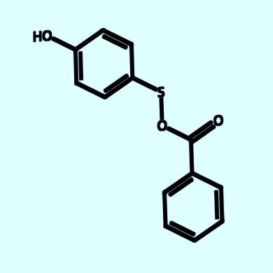 O=C(OSc1ccc(O)cc1)c1ccccc1